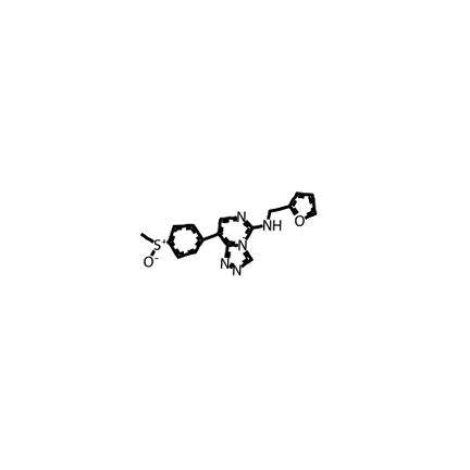 C[S+]([O-])c1ccc(-c2cnc(NCc3ccco3)n3cnnc23)cc1